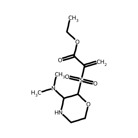 C=C(C(=O)OCC)S(=O)(=O)C1OCCNC1N(C)C